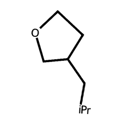 CC(C)CC1CCOC1